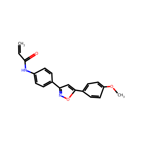 C=CC(=O)Nc1ccc(-c2cc(-c3ccc(OC)cc3)on2)cc1